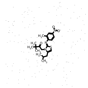 Cc1cc([N+](=O)[O-])ccc1N=c1scc(CC(C)C)n1CC(=O)C(C)(C)C